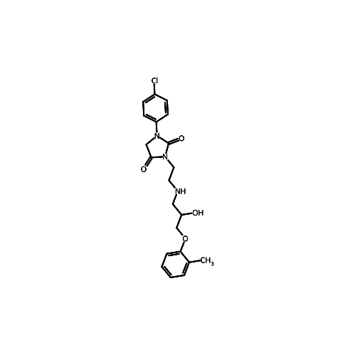 Cc1ccccc1OCC(O)CNCCN1C(=O)CN(c2ccc(Cl)cc2)C1=O